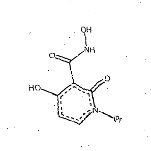 CC(C)n1ccc(O)c(C(=O)NO)c1=O